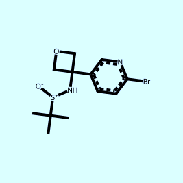 CC(C)(C)[S+]([O-])NC1(c2ccc(Br)nc2)COC1